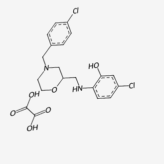 O=C(O)C(=O)O.Oc1cc(Cl)ccc1NCC1CN(Cc2ccc(Cl)cc2)CCO1